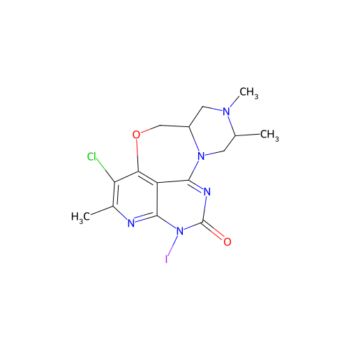 Cc1nc2c3c(nc(=O)n2I)N2CC(C)N(C)CC2COc3c1Cl